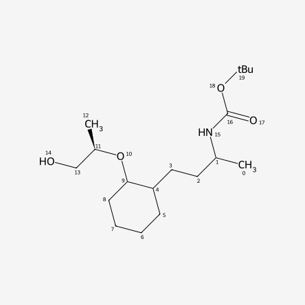 CC(CCC1CCCCC1O[C@H](C)CO)NC(=O)OC(C)(C)C